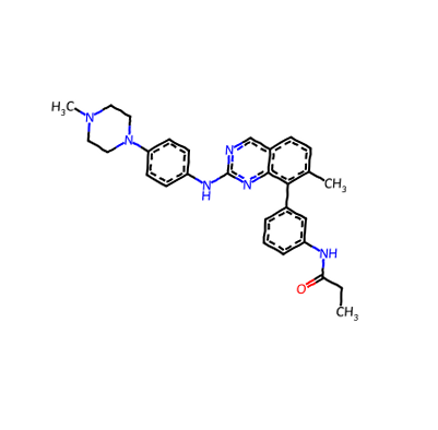 CCC(=O)Nc1cccc(-c2c(C)ccc3cnc(Nc4ccc(N5CCN(C)CC5)cc4)nc23)c1